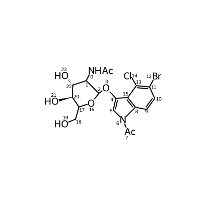 CC(=O)NC1C(Oc2cn(C(C)=O)c3ccc(Br)c(Cl)c23)OC(CO)[C@@H](O)[C@@H]1O